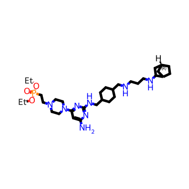 CCOP(=O)(CCN1CCN(c2cc(N)nc(NCC3CCC(CNCCCNC4C[C@@H]5CCC4C5)CC3)n2)CC1)OCC